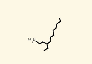 CCCCCCCCC(CC)CCN